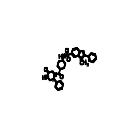 Cn1c(-c2ccccc2)cc2ccc(S(=O)(=O)N[C@H]3CC[C@H](C(=O)N4CC(=O)NC[C@@H]4c4ccccc4)CC3)cc21